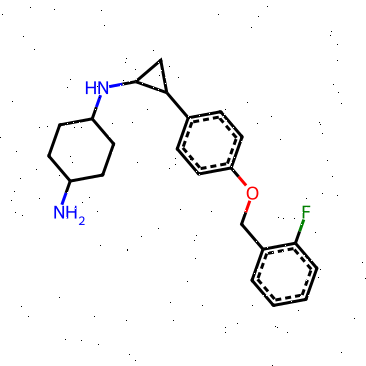 NC1CCC(NC2CC2c2ccc(OCc3ccccc3F)cc2)CC1